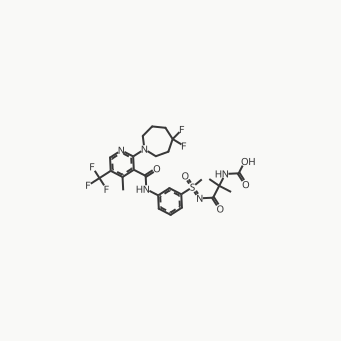 Cc1c(C(F)(F)F)cnc(N2CCCC(F)(F)CC2)c1C(=O)Nc1cccc(S(C)(=O)=NC(=O)C(C)(C)NC(=O)O)c1